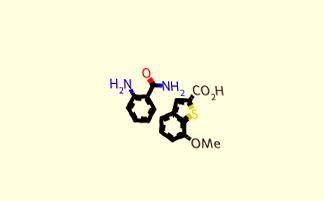 COc1cccc2cc(C(=O)O)sc12.NC(=O)c1ccccc1N